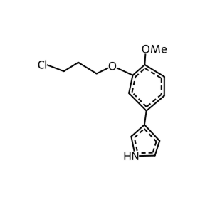 COc1ccc(-c2cc[nH]c2)cc1OCCCCl